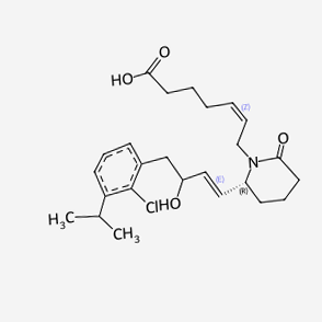 CC(C)c1cccc(CC(O)/C=C/[C@H]2CCCC(=O)N2C/C=C\CCCC(=O)O)c1Cl